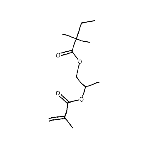 C=C(C)C(=O)OC(C)COC(=O)C(C)(C)CC